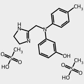 CS(=O)(=O)O.CS(=O)(=O)O.Cc1ccc(N(CC2=NCCN2)c2cccc(O)c2)cc1